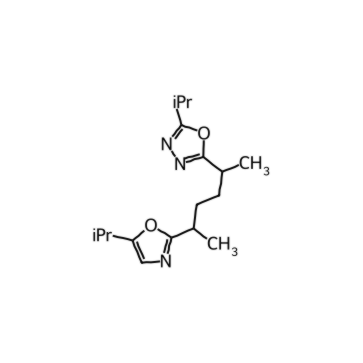 CC(C)c1cnc(C(C)CCC(C)c2nnc(C(C)C)o2)o1